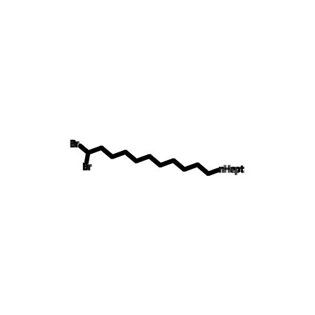 CCCCCCCCCCCCCCCCCC(Br)Br